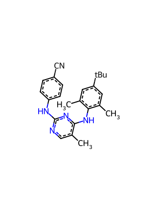 Cc1cnc(Nc2ccc(C#N)cc2)nc1Nc1c(C)cc(C(C)(C)C)cc1C